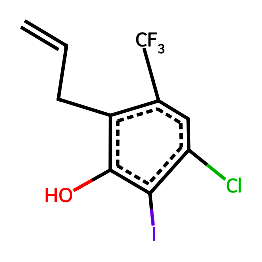 C=CCc1c(C(F)(F)F)cc(Cl)c(I)c1O